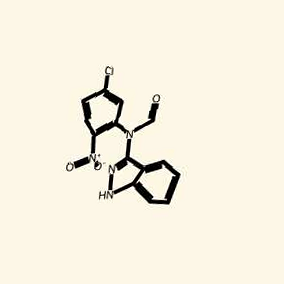 O=CN(c1cc(Cl)ccc1[N+](=O)[O-])c1n[nH]c2ccccc12